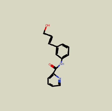 O=C(Nc1cccc(/C=C/CO)c1)c1ccccn1